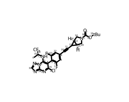 C[C@H](Nc1c(-c2c(F)cc(C#CC3[C@H]4CN(C(=O)OC(C)(C)C)C[C@@H]34)cc2F)c(Cl)nc2ncnn12)C(F)(F)F